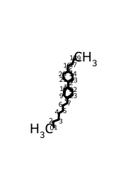 CCCCCCCCc1ccc(C2=CCC(CCCC)CC2)cc1